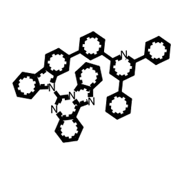 c1ccc(-c2cc(-c3ccccc3)nc(-c3cccc(-c4ccc5c6ccccc6n(-c6nc7ccccc7c7nc8ccccc8n67)c5c4)c3)c2)cc1